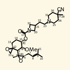 CO[C@H]1C([C@@]2(C)O[C@@H]2CC=C(C)C)[C@]2(CC[C@H]1OC(=O)N1CC(CCN3CCC(C)(C#N)CC3)C1)CO2